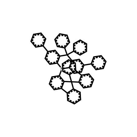 c1ccc(-c2ccc3c(c2)C(c2ccccc2)(c2ccccc2)c2cc(-c4ccccc4)ccc2N3c2cccc3c2C2(c4ccccc4-c4ccccc42)c2ccccc2-3)cc1